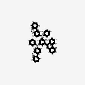 c1ccc(N(c2cc(-c3cc4ccccc4c4ccccc34)cc(N(c3ccccc3)c3ccc4oc5ccccc5c4c3)c2)c2ccc3c(c2)oc2ccccc23)cc1